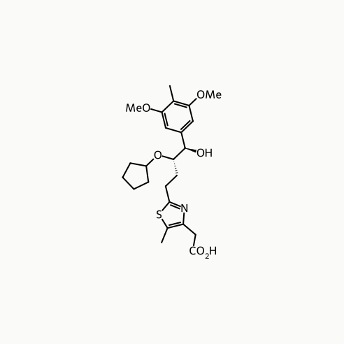 COc1cc([C@@H](O)[C@H](CCc2nc(CC(=O)O)c(C)s2)OC2CCCC2)cc(OC)c1C